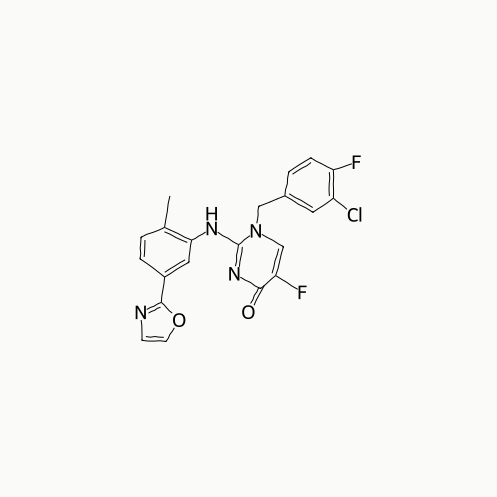 Cc1ccc(-c2ncco2)cc1Nc1nc(=O)c(F)cn1Cc1ccc(F)c(Cl)c1